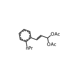 CCCc1ccccc1C=CC(OC(C)=O)OC(C)=O